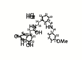 COc1cccc(CNCc2cccc(CCNC(O)Cc3ccc(O)c4[nH]c(=O)sc34)c2)c1.Cl.Cl